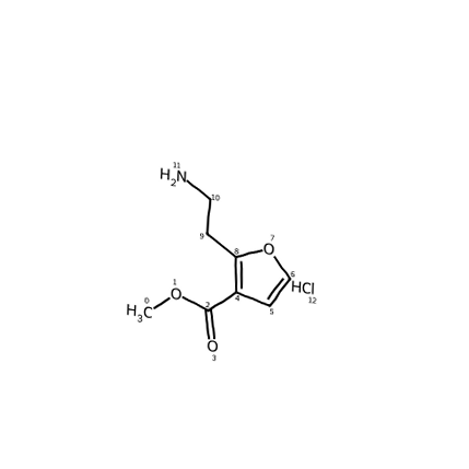 COC(=O)c1ccoc1CCN.Cl